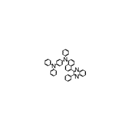 c1ccc(-c2nc3ccccc3nc2-c2cccc3c(N(c4ccccc4)c4ccc(N(c5ccccc5)c5ccccc5)cc4)cccc23)cc1